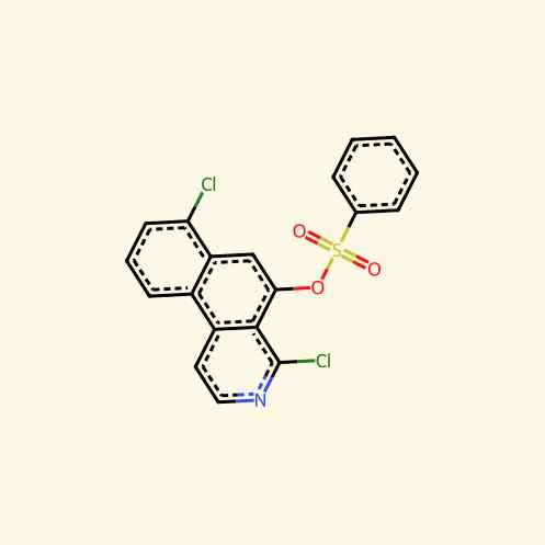 O=S(=O)(Oc1cc2c(Cl)cccc2c2ccnc(Cl)c12)c1ccccc1